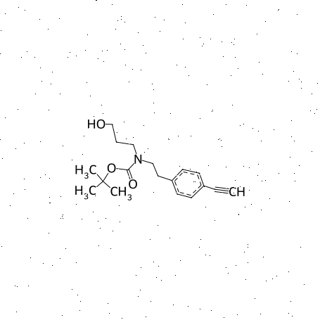 C#Cc1ccc(CCN(CCCO)C(=O)OC(C)(C)C)cc1